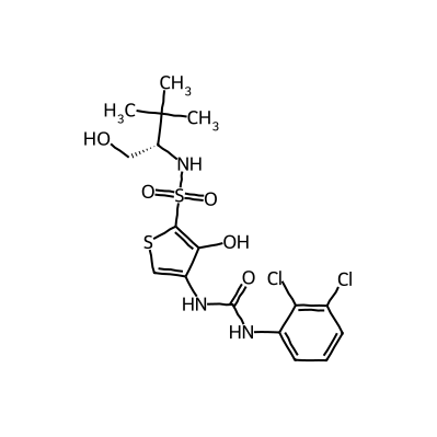 CC(C)(C)[C@@H](CO)NS(=O)(=O)c1scc(NC(=O)Nc2cccc(Cl)c2Cl)c1O